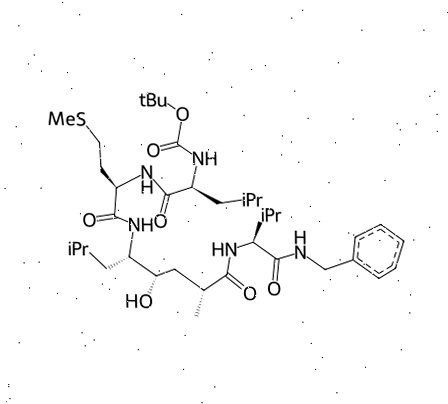 CSCC[C@@H](NC(=O)[C@H](CC(C)C)NC(=O)OC(C)(C)C)C(=O)N[C@@H](CC(C)C)[C@@H](O)C[C@@H](C)C(=O)N[C@H](C(=O)NCc1ccccc1)C(C)C